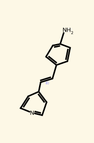 Nc1ccc(/C=C/c2ccncc2)cc1